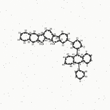 c1ccc(-c2c3ccccc3c(-c3cccc(-c4ccc5c(c4)sc4c5ccc5c6cc7ccccc7cc6sc54)c3)c3ccccc23)cc1